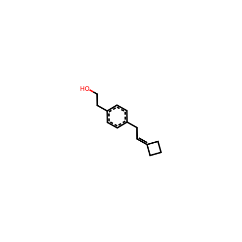 OCCc1ccc(CC=C2CCC2)cc1